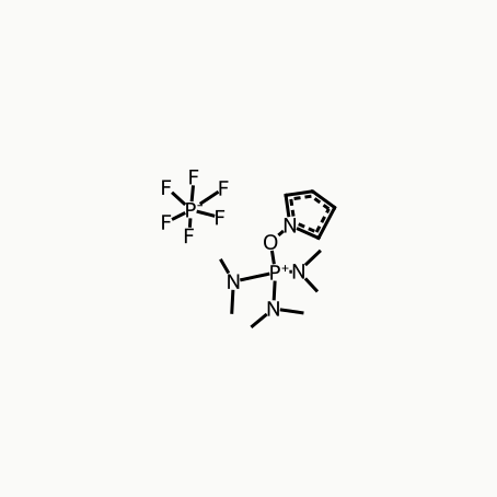 CN(C)[P+](On1cccc1)(N(C)C)N(C)C.F[P-](F)(F)(F)(F)F